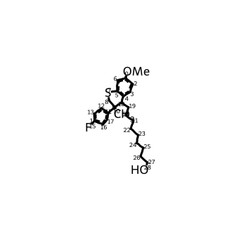 COc1ccc2c(c1)SCC(C)(c1ccc(F)cc1)C2CCCCCCCCCO